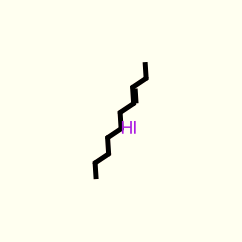 CCC=CCCCCCC.I